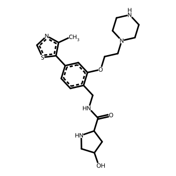 Cc1ncsc1-c1ccc(CNC(=O)C2CC(O)CN2)c(OCCN2CCNCC2)c1